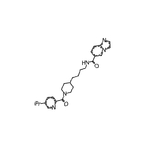 CC(C)c1ccc(C(=O)N2CCC(CCCCNC(=O)c3ccc4nccn4c3)CC2)nc1